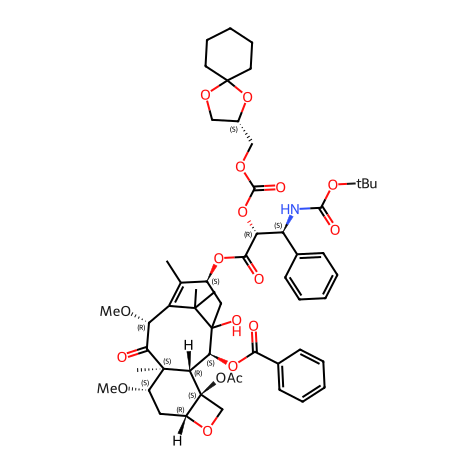 CO[C@H]1C(=O)[C@]2(C)[C@@H](OC)C[C@H]3OC[C@@]3(OC(C)=O)[C@H]2[C@H](OC(=O)c2ccccc2)C2(O)C[C@H](OC(=O)[C@H](OC(=O)OC[C@@H]3COC4(CCCCC4)O3)[C@@H](NC(=O)OC(C)(C)C)c3ccccc3)C(C)=C1C2(C)C